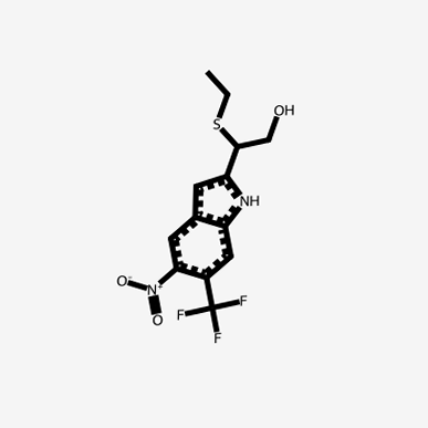 CCSC(CO)c1cc2cc([N+](=O)[O-])c(C(F)(F)F)cc2[nH]1